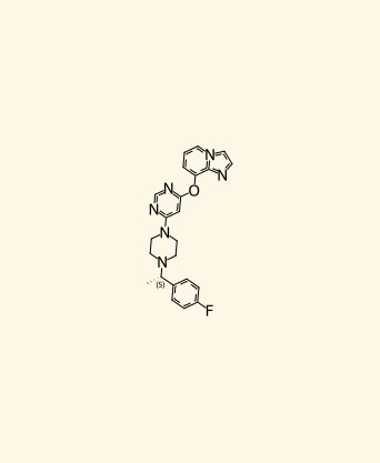 C[C@@H](c1ccc(F)cc1)N1CCN(c2cc(Oc3cccn4ccnc34)ncn2)CC1